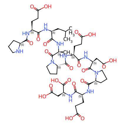 CC(C)C[C@H](NC(=O)[C@H](CCC(=O)O)NC(=O)[C@@H]1CCCN1)C(=O)N[C@@H](C)C(=O)N1CCC[C@H]1C(=O)N[C@@H](CCC(=O)O)C(=O)N[C@@H](CC(=O)O)C(=O)N1CCC[C@H]1C(=O)N[C@@H](CCC(=O)O)C(=O)N[C@@H](CC(=O)O)C(=O)O